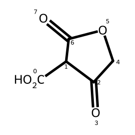 O=C(O)C1C(=O)COC1=O